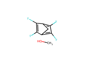 CO.FC1=C(F)C2=C(F)C(F)=C1C2